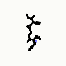 CCN(C)C(=N)C1CC1CCN(C)/C(N)=N\C#N